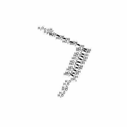 O.O.O.O.O.O.O.O.O.O.O.O.O=S(=O)(O)O.O=S(=O)(O)O.O=S(=O)(O)O.O=S(=O)(O)O.O=S(=O)(O)O.O=S(=O)(O)O.O=S(=O)(O)O.O=S(=O)(O)O.O=S(=O)(O)O.O=S(=O)(O)O.O=S(=O)(O)O.O=S(=O)(O)O.O=S(=O)(O)O.O=S(=O)(O)O.O=S(=O)(O)O